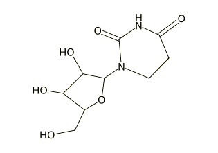 O=C1CCN(C2OC(CO)C(O)C2O)C(=O)N1